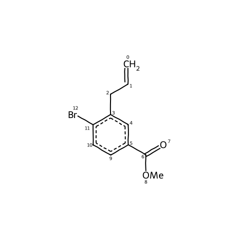 C=CCc1cc(C(=O)OC)ccc1Br